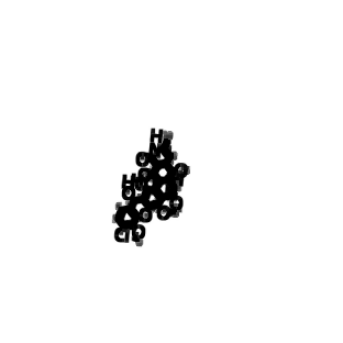 COc1c(Cl)ccc2c(=O)c3c(O)c4c5c(c3oc12)OCO[C@@H]5C[C@@H]1C(=O)c2cc(C)[nH]c(=O)c2C(=O)[C@]41O